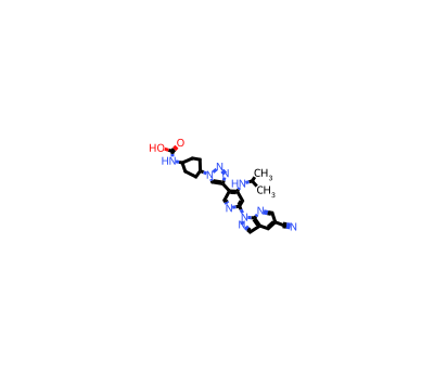 CC(C)Nc1cc(-n2ncc3cc(C#N)cnc32)ncc1-c1cn(C2CCC(NC(=O)O)CC2)nn1